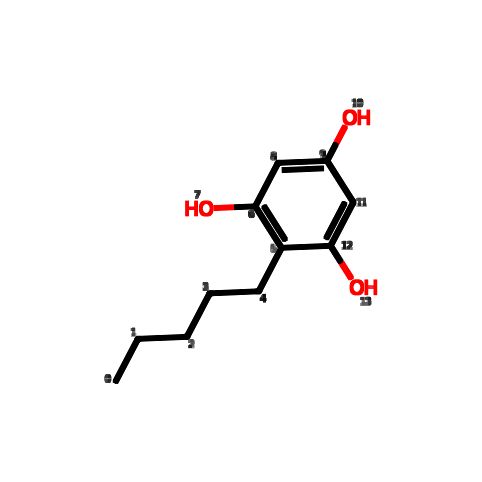 CCCCCc1c(O)cc(O)cc1O